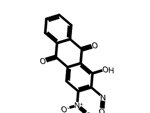 O=Nc1c([N+](=O)[O-])cc2c(c1O)C(=O)c1ccccc1C2=O